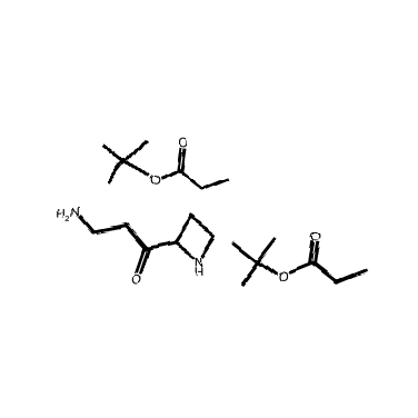 CCC(=O)OC(C)(C)C.CCC(=O)OC(C)(C)C.NCCC(=O)C1CCN1